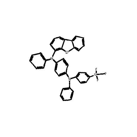 F[Si](F)(F)c1ccc(N(c2ccccc2)c2ccc(N(c3ccccc3)c3cccc4c3oc3ccccc34)cc2)cc1